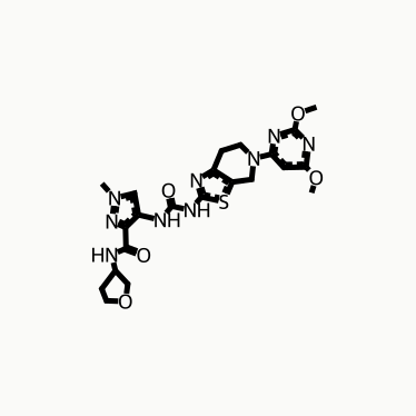 COc1cc(N2CCc3nc(NC(=O)Nc4cn(C)nc4C(=O)NC4CCOC4)sc3C2)nc(OC)n1